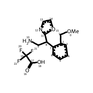 COCc1ccccc1C(CN)c1ncco1.O=C(O)C(F)(F)F